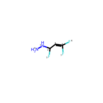 NNC(F)C=C(F)F